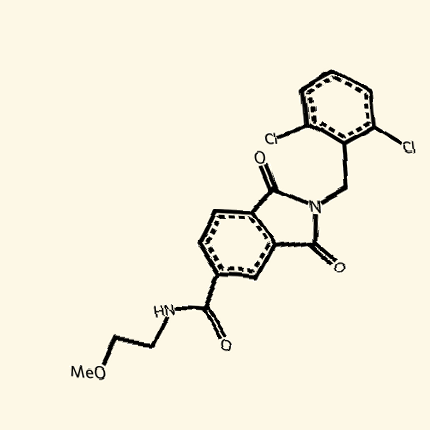 COCCNC(=O)c1ccc2c(c1)C(=O)N(Cc1c(Cl)cccc1Cl)C2=O